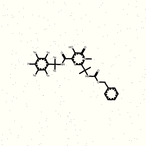 [2H]c1c([2H])c(C([2H])([2H])NC(=O)c2nc(C(C)(C)NC(=O)OCc3ccccc3)n(C)c(=O)c2O)c([2H])c([2H])c1F